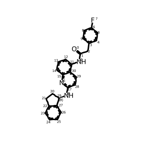 O=C(Cc1ccc(F)cc1)Nc1cccc2nc(N[C@@H]3CCc4ccccc43)ccc12